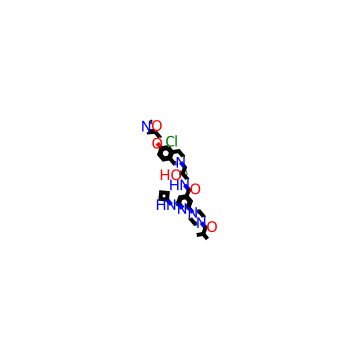 CC(C)C(=O)N1CCN(c2cc(C(=O)NC[C@H](O)CN3CCc4c(ccc(OCc5cnco5)c4Cl)C3)cc(NC3CCC3)n2)CC1